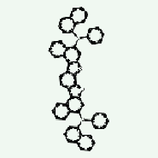 c1ccc(N(c2cccc3ccccc23)c2cc3oc4c(ccc5c4sc4cc(N(c6ccccc6)c6cccc7ccccc67)c6ccccc6c45)c3c3ccccc23)cc1